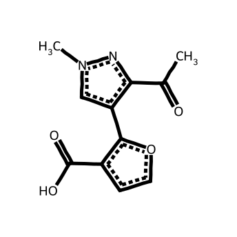 CC(=O)c1nn(C)cc1-c1occc1C(=O)O